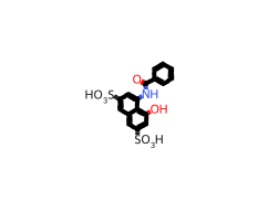 O=C(Nc1cc(S(=O)(=O)O)cc2cc(S(=O)(=O)O)cc(O)c12)c1ccccc1